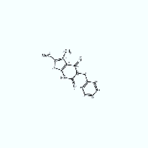 COc1sc2[nH]c(=O)n(Cc3ccccc3)c(=O)c2c1C